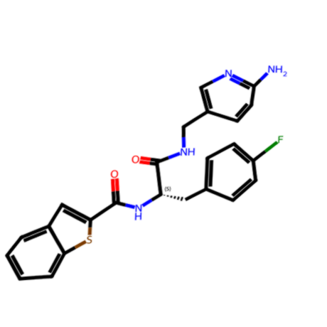 Nc1ccc(CNC(=O)[C@H](Cc2ccc(F)cc2)NC(=O)c2cc3ccccc3s2)cn1